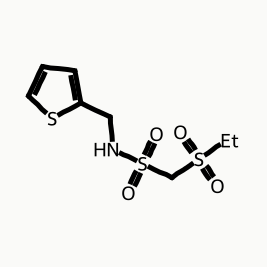 CCS(=O)(=O)CS(=O)(=O)NCc1cccs1